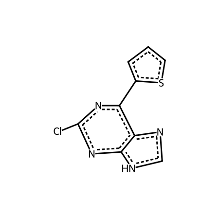 Clc1nc(-c2cccs2)c2nc[nH]c2n1